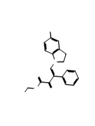 CCOC(=O)C(=O)/C(=C/N1CCc2cc(C)ccc21)c1ccccc1